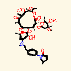 CCC1OC(=O)[C@H](C)[C@H](OC2C[C@@](C)(OC)[C@@H](O)[C@H](C)O2)[C@H](C)[C@@H](OC2O[C@H](C)C[C@H](N(C)CCc3ccc(-n4cc(C)ccc4=O)cc3)[C@H]2O)[C@@](C)(OC)C[C@@H](C)C(=O)C(C)[C@@H](O)[C@]1(C)O